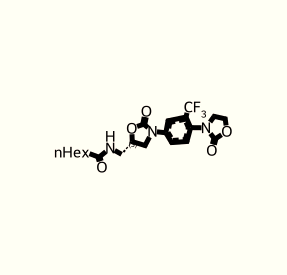 CCCCCCC(=O)NC[C@H]1CN(c2ccc(N3CCOC3=O)c(C(F)(F)F)c2)C(=O)O1